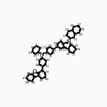 c1ccc(N(c2ccc(-c3ccc4c(c3)c3ccccc3n4-c3ccc4ccccc4c3)cc2)c2ccc(-c3cccc4c3oc3ccccc34)cc2)cc1